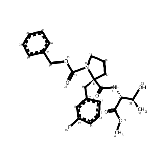 COC(=O)[C@H](NC(=O)[C@@]1(Cc2cccc(F)c2)CCCN1C(=O)OCc1ccccc1)[C@H](C)O